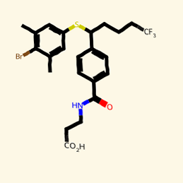 Cc1cc(SC(CCCC(F)(F)F)c2ccc(C(=O)NCCC(=O)O)cc2)cc(C)c1Br